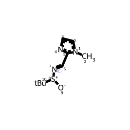 Cn1ccnc1/C=N/[S+]([O-])C(C)(C)C